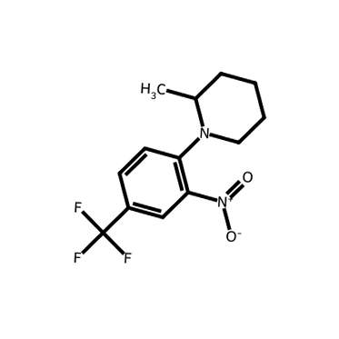 CC1CCCCN1c1ccc(C(F)(F)F)cc1[N+](=O)[O-]